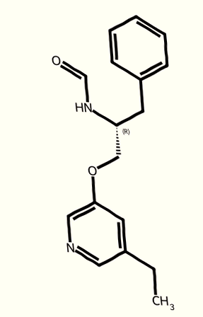 CCc1cncc(OC[C@@H](Cc2ccccc2)NC=O)c1